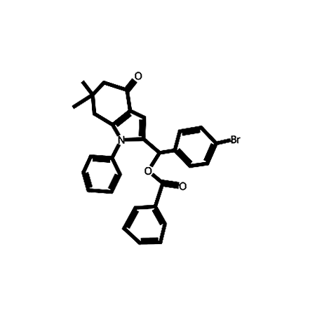 CC1(C)CC(=O)c2cc(C(OC(=O)c3ccccc3)c3ccc(Br)cc3)n(-c3ccccc3)c2C1